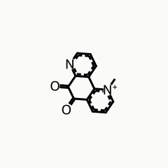 C[n+]1cccc2c1-c1cccnc1C(=O)C2=O